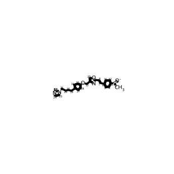 C[S+]([O-])c1ccc(/C=C/c2nc(COc3ccc(CCCCn4ccnn4)cc3)co2)cc1